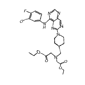 CCOC(=O)CN(CC(=O)OCC)CC1CCN(c2ncc3ncnc(Nc4ccc(F)c(Cl)c4)c3n2)CC1